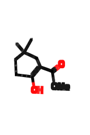 COC(=O)C1=C(O)CCC(C)(C)C1